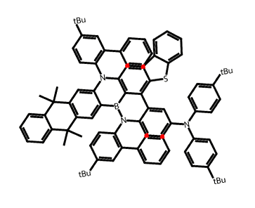 CC(C)(C)c1ccc(N(c2ccc(C(C)(C)C)cc2)c2ccc3c(c2)-c2c4c(cc5c2sc2ccccc25)N(c2ccc(C(C)(C)C)cc2-c2ccccc2)c2cc5c(cc2B4N3c2ccc(C(C)(C)C)cc2-c2ccccc2)C(C)(C)c2ccccc2C5(C)C)cc1